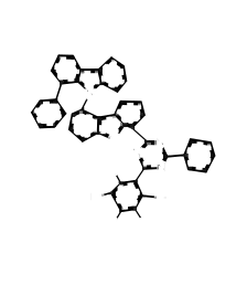 Oc1c(O)c(O)c(-c2nc(-c3ccccc3)nc(-c3cccc4c3oc3cccc(-n5c6ccccc6c6cccc(-c7ccccc7)c65)c34)n2)c(O)c1O